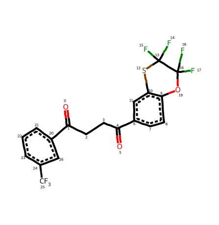 O=C(CCC(=O)c1ccc2c(c1)SC(F)(F)C(F)(F)O2)c1cccc(C(F)(F)F)c1